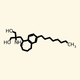 CCCCCCCCc1ccc2c(c1)CCCCC2CC(N)(CO)CO